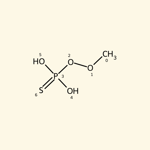 COOP(O)(O)=S